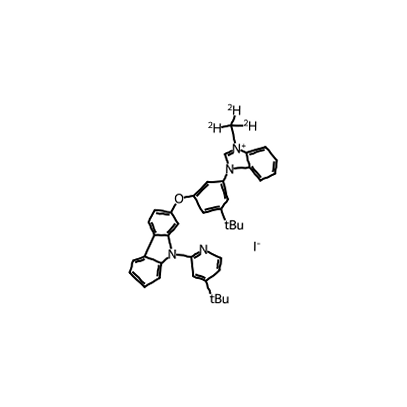 [2H]C([2H])([2H])[n+]1cn(-c2cc(Oc3ccc4c5ccccc5n(-c5cc(C(C)(C)C)ccn5)c4c3)cc(C(C)(C)C)c2)c2ccccc21.[I-]